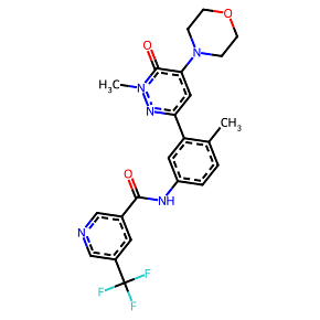 Cc1ccc(NC(=O)c2cncc(C(F)(F)F)c2)cc1-c1cc(N2CCOCC2)c(=O)n(C)n1